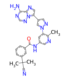 Cc1ncc(NC(=O)c2cccc(C(C)(C)C#N)c2)cc1-n1cc(-c2cnc3c(N)ncnn23)cn1